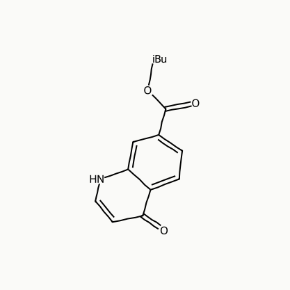 CCC(C)OC(=O)c1ccc2c(=O)cc[nH]c2c1